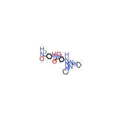 NC(=O)c1ccc(NC(=O)c2ccc(Nc3nc(N4CCCCC4)nc(N4CCCCC4)n3)cc2O)cc1